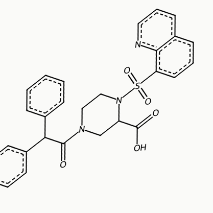 O=C(O)C1CN(C(=O)C(c2ccccc2)c2ccccc2)CCN1S(=O)(=O)c1cccc2cccnc12